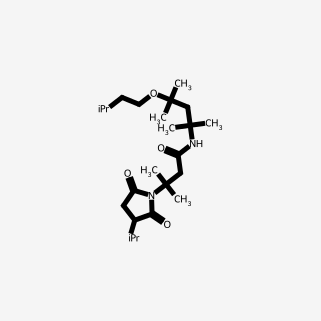 CC(C)CCOC(C)(C)CC(C)(C)NC(=O)CC(C)(C)N1C(=O)CC(C(C)C)C1=O